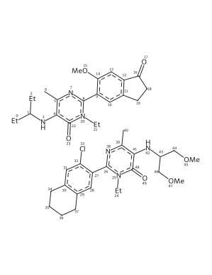 CCC(CC)Nc1c(C)nc(-c2cc3c(cc2OC)C(=O)CC3)n(CC)c1=O.CCn1c(-c2cc3c(cc2Cl)CCCC3)nc(C)c(NC(COC)COC)c1=O